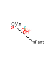 CCCCCC=CCC=CCC=CCC=CCCCC(=O)OC.O=P(O)(O)F